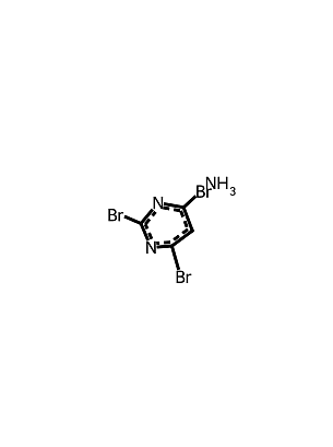 Brc1cc(Br)nc(Br)n1.N